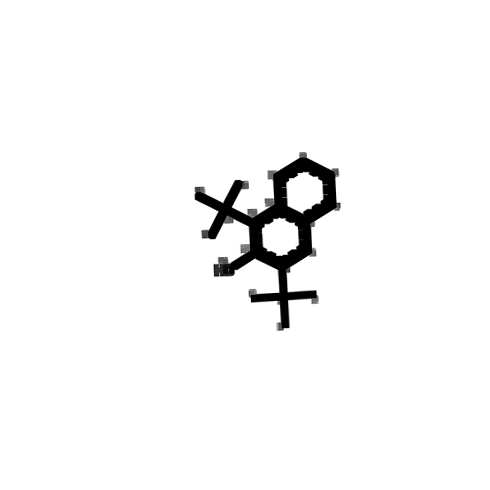 CC(C)(C)c1cc2ccccc2c(C(C)(C)C)c1O